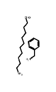 NCCCCCCCCCCC=O.NCc1ccccc1